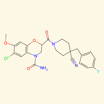 COc1cc2c(cc1Cl)N(C(N)=O)CC(C(=O)N1CCC(C#N)(Cc3ccc(F)cc3)CC1)O2